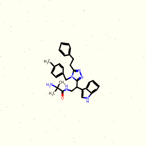 Cc1ccc(Cn2c(CCc3ccccc3)nnc2C(CNC(=O)C(C)(C)N)c2c[nH]c3ccccc23)cc1